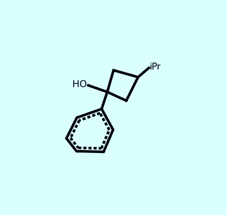 CC(C)C1CC(O)(c2ccccc2)C1